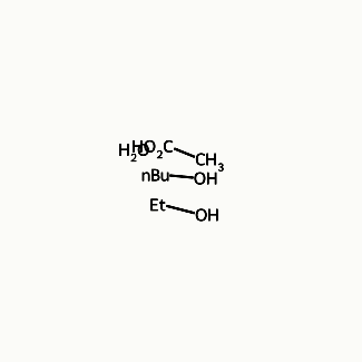 CC(=O)O.CCCCO.CCO.O